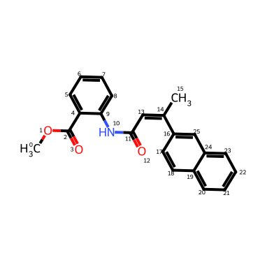 COC(=O)c1ccccc1NC(=O)/C=C(/C)c1ccc2ccccc2c1